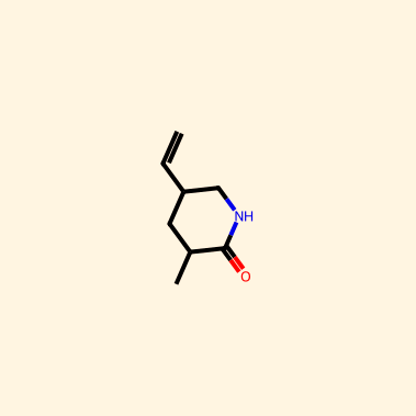 C=CC1CNC(=O)C(C)C1